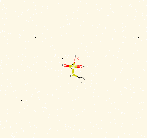 N#CSS(=O)(=O)O